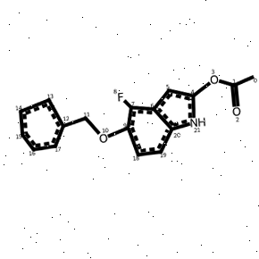 CC(=O)Oc1cc2c(F)c(OCc3ccccc3)ccc2[nH]1